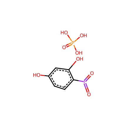 O=I(=O)c1ccc(O)cc1O.O=P(O)(O)O